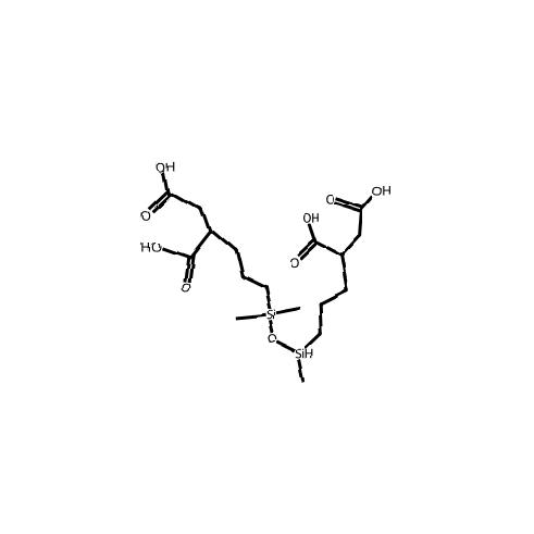 C[SiH](CCCC(CC(=O)O)C(=O)O)O[Si](C)(C)CCCC(CC(=O)O)C(=O)O